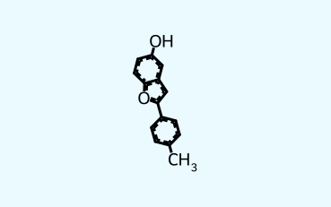 Cc1ccc(-c2cc3cc(O)ccc3o2)cc1